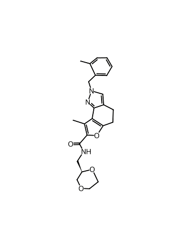 Cc1ccccc1Cn1cc2c(n1)-c1c(oc(C(=O)NC[C@@H]3COCCO3)c1C)CC2